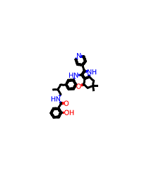 CC(CNC(=O)c1ccccc1O)Cc1cccc(Nc2c(-c3ccncc3)[nH]c3c2C(=O)CC(C)(C)C3)c1